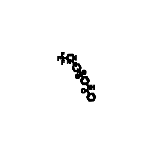 O=C(Nc1ccc(S(=O)(=O)N2CCN(c3nccc(C(F)(F)F)n3)CC2)cc1)c1ccccc1